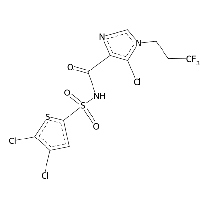 O=C(NS(=O)(=O)c1cc(Cl)c(Cl)s1)c1ncn(CCC(F)(F)F)c1Cl